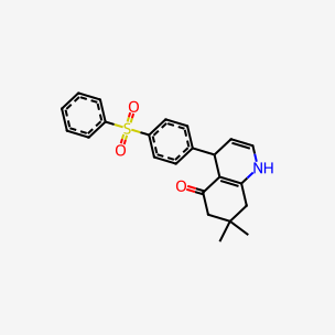 CC1(C)CC(=O)C2=C(C1)NC=CC2c1ccc(S(=O)(=O)c2ccccc2)cc1